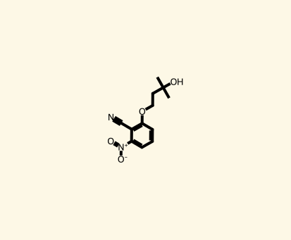 CC(C)(O)CCOc1cccc([N+](=O)[O-])c1C#N